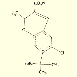 CCCCC(C)(C)c1cc2c(cc1Cl)C=C(C(=O)O)C(C(F)(F)F)O2